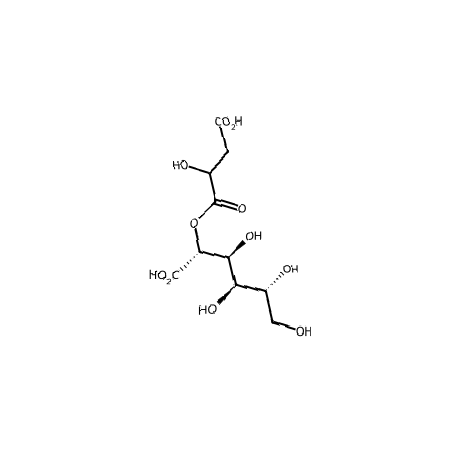 O=C(O)CC(O)C(=O)O[C@@H](C(=O)O)[C@@H](O)[C@H](O)[C@H](O)CO